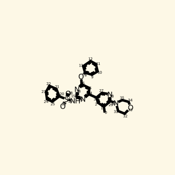 Cc1cc(-c2cc(Oc3ccccc3)nc(NS(=O)(=O)c3ccccc3)n2)cnc1N1CCOCC1